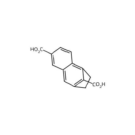 O=C(O)c1ccc2c3c(C(=O)O)c(cc2c1)CC3